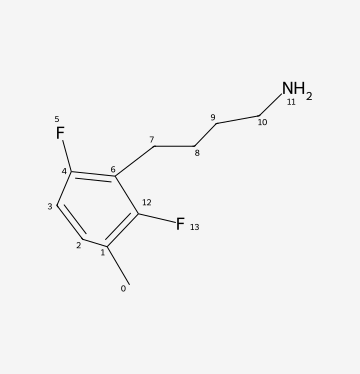 Cc1ccc(F)c(CCCCN)c1F